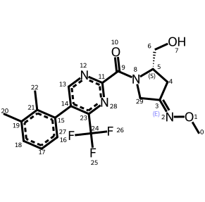 CO/N=C1\C[C@@H](CO)N(C(=O)c2ncc(-c3cccc(C)c3C)c(C(F)(F)F)n2)C1